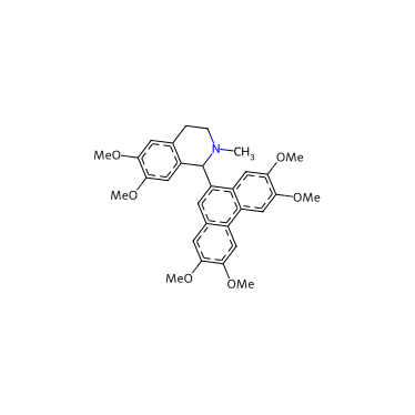 COc1cc2c(cc1OC)C(c1cc3cc(OC)c(OC)cc3c3cc(OC)c(OC)cc13)N(C)CC2